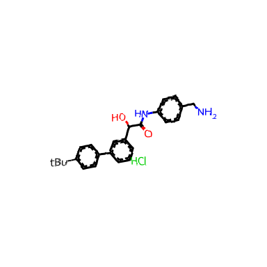 CC(C)(C)c1ccc(-c2cccc(C(O)C(=O)Nc3ccc(CN)cc3)c2)cc1.Cl